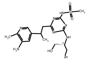 Cc1ncc(C(C)Cc2nc(N[C@@H](CO)CC(C)C)nc(NS(C)(=O)=O)n2)cc1N